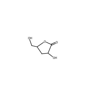 O=C1OC(CO)CC1O